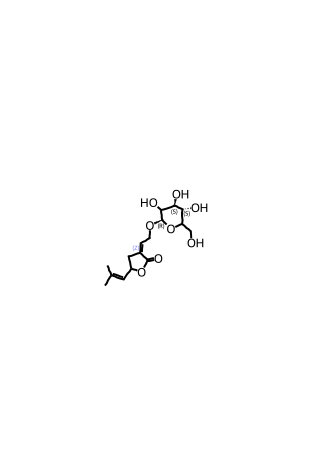 CC(C)=CC1C/C(=C/CO[C@@H]2OC(CO)[C@@H](O)[C@H](O)C2O)C(=O)O1